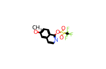 COc1ccc2c(OS(=O)(=O)C(F)(F)F)nccc2c1